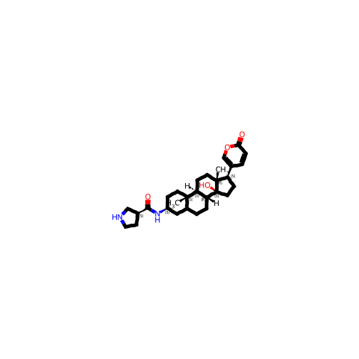 C[C@]12CC[C@H](NC(=O)[C@H]3CCNC3)CC1CC[C@@H]1[C@@H]2CC[C@]2(C)[C@@H](c3ccc(=O)oc3)CC[C@]12O